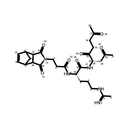 CC(=N)NCCC[C@H](NC(=O)CCN1C(=O)C2C3C=CC(C3)C2C1=O)C(=O)N[C@@H](CC(C)=O)C(=O)CCC(C)=O